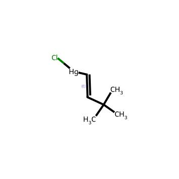 CC(C)(C)/C=[CH]/[Hg][Cl]